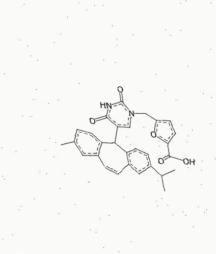 Cc1ccc2c(c1)C=Cc1cc(C(C)C)ccc1C2c1cn(Cc2ccc(C(=O)O)o2)c(=O)[nH]c1=O